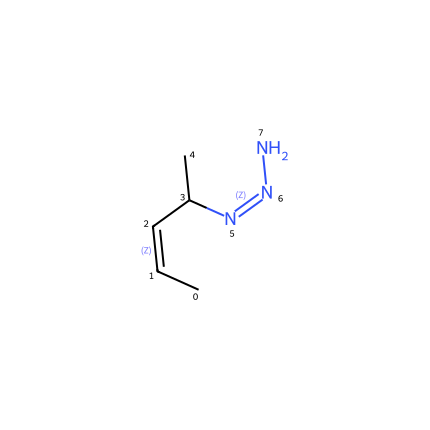 C/C=C\C(C)/N=N\N